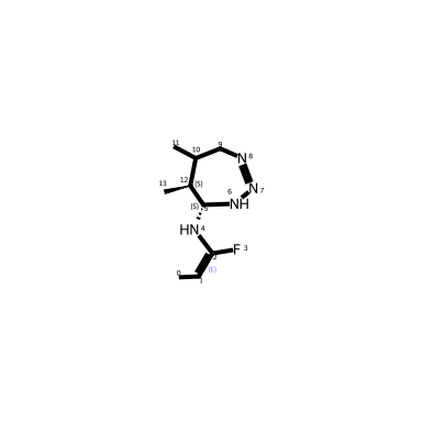 C/C=C(/F)N[C@H]1NN=NCC(C)[C@@H]1C